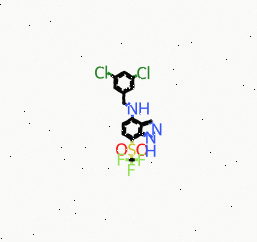 O=S(=O)(c1ccc(NCc2cc(Cl)cc(Cl)c2)c2cn[nH]c12)C(F)(F)F